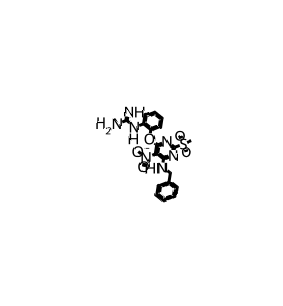 CS(=O)(=O)c1nc(NCc2ccccc2)c([N+](=O)[O-])c(Oc2ccccc2NC(=N)N)n1